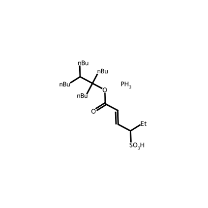 CCCCC(CCCC)C(CCCC)(CCCC)OC(=O)/C=C/C(CC)S(=O)(=O)O.P